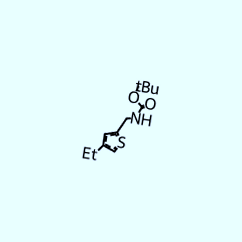 CCc1csc(CNC(=O)OC(C)(C)C)c1